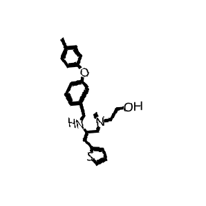 Cc1ccc(Oc2cccc(CNC(Cc3cccs3)CN(C)CCO)c2)cc1